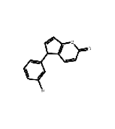 O=c1ccc2c(o1)C=CC2c1cccc(Br)c1